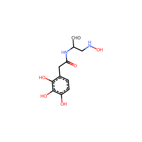 O=CC(CNO)NC(=O)Cc1ccc(O)c(O)c1O